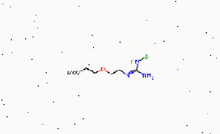 COCCOCCN=C(N)NBr